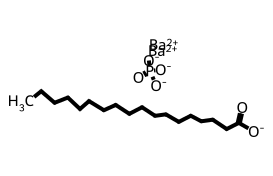 CCCCCCCCCCCCCCCCCC(=O)[O-].O=P([O-])([O-])[O-].[Ba+2].[Ba+2]